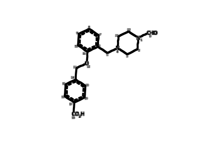 O=CN1CCN(Cc2ccccc2OCc2ccc(C(=O)O)cc2)CC1